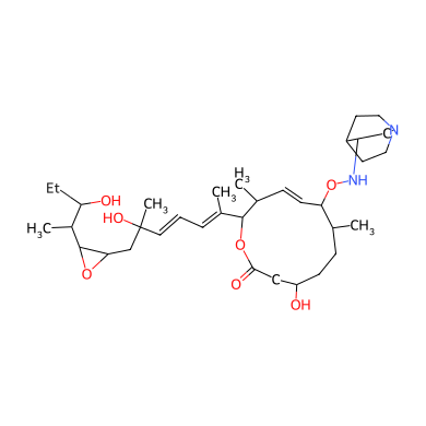 CCC(O)C(C)C1OC1CC(C)(O)/C=C/C=C(\C)C1OC(=O)CC(O)CCC(C)C(ONC2CN3CCC2CC3)/C=C/C1C